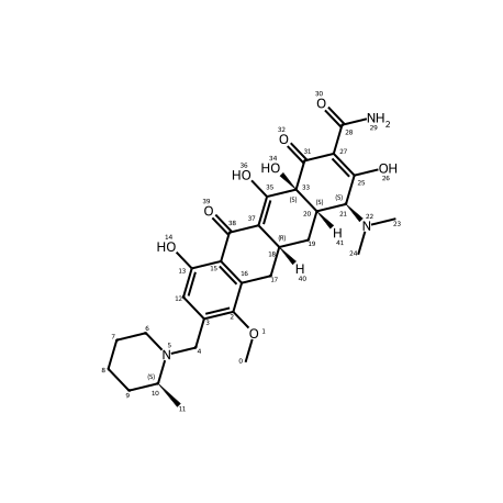 COc1c(CN2CCCC[C@@H]2C)cc(O)c2c1C[C@H]1C[C@H]3[C@H](N(C)C)C(O)=C(C(N)=O)C(=O)[C@@]3(O)C(O)=C1C2=O